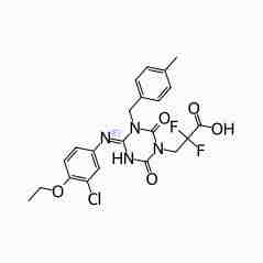 CCOc1ccc(/N=c2\[nH]c(=O)n(CC(F)(F)C(=O)O)c(=O)n2Cc2ccc(C)cc2)cc1Cl